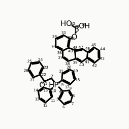 O=C(C[PH](c1ccccc1)(c1ccccc1)c1ccccc1)c1ccccc1.OB(O)Oc1cccc2ccc3cc4ccccc4cc3c12